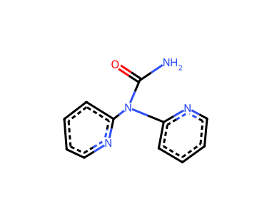 NC(=O)N(c1ccccn1)c1ccccn1